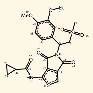 CCOc1cc(C(CS(C)(=O)=O)N2C(=O)c3csc(NC(=O)C4CC4)c3C2=O)ccc1OC